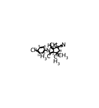 Cc1c2c(c(C)n1-c1ccc(Cl)cc1)C(C)(C#N)CC2(C)C